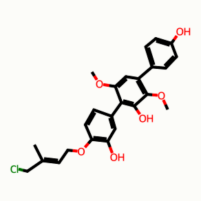 COc1cc(-c2ccc(O)cc2)c(OC)c(O)c1-c1ccc(OC/C=C(\C)CCl)c(O)c1